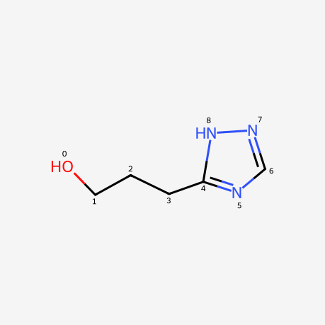 OCCCc1ncn[nH]1